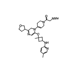 CNCC(=O)N1CC=C(N2CC(C3CCOC3)=NC=C2OC2(C)CC(Nc3ccc(C)cn3)C2)CC1